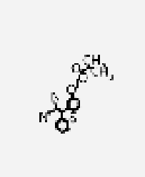 C=C(C)C(=O)OCCOc1ccc2c(c1)C(=C(C#N)C#N)c1ccccc1S2